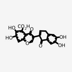 O=C1C(c2coc3cc(O)c(O)c(C(=O)O)c3c2=O)=CCc2cc(O)c(O)cc21